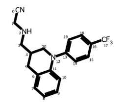 N#CCNCC1Cc2ccccc2N(c2ccc(C(F)(F)F)cc2)C1